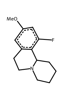 COc1cc(F)c2c(c1)CCN1CCCCC21